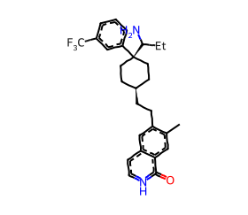 CCC(N)[C@]1(c2cccc(C(F)(F)F)c2)CC[C@H](CCc2cc3cc[nH]c(=O)c3cc2C)CC1